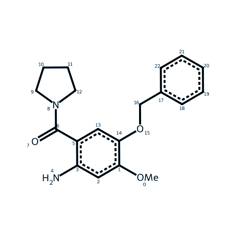 COc1cc(N)c(C(=O)N2CCCC2)cc1OCc1ccccc1